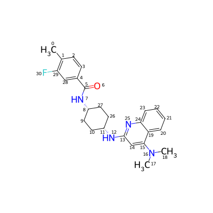 Cc1ccc(C(=O)N[C@H]2CC[C@@H](Nc3cc(N(C)C)c4ccccc4n3)CC2)cc1F